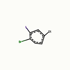 CCc1ccc(Br)c(I)c1